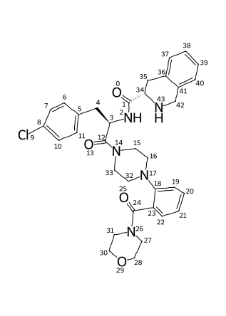 O=C(N[C@H](Cc1ccc(Cl)cc1)C(=O)N1CCN(c2ccccc2C(=O)N2CCOCC2)CC1)[C@@H]1Cc2ccccc2CN1